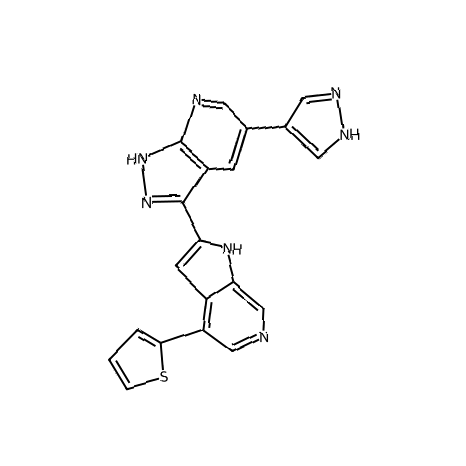 c1csc(-c2cncc3[nH]c(-c4n[nH]c5ncc(-c6cn[nH]c6)cc45)cc23)c1